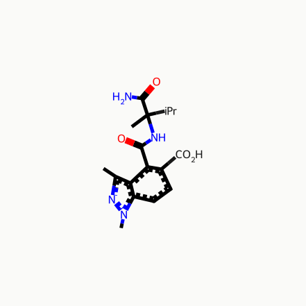 Cc1nn(C)c2ccc(C(=O)O)c(C(=O)NC(C)(C(N)=O)C(C)C)c12